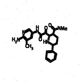 CNC(=O)C1CCC(c2ccccc2)NC1C(=O)C(=O)Nc1cnc(N)c(C)c1